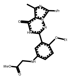 CCCc1nc(C)c2c(=O)[nH]c(-c3cc(NCC(=O)OC)ccc3OCC)nn12